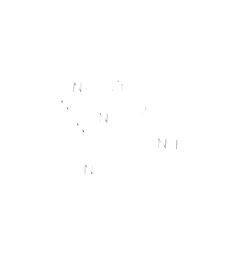 NC(=O)c1ccncc1.[Zn][CH]1N=NN=N1